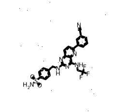 N#Cc1cccc(-c2ccc3nc(NCc4ccc(S(N)(=O)=O)cc4)nc(NCC(F)(F)F)c3n2)c1